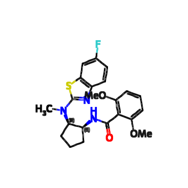 COc1cccc(OC)c1C(=O)N[C@H]1CCC[C@H]1N(C)c1nc2ccc(F)cc2s1